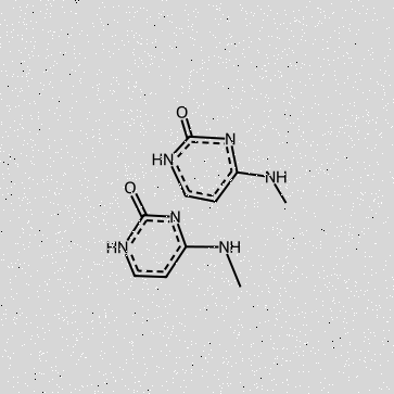 CNc1cc[nH]c(=O)n1.CNc1cc[nH]c(=O)n1